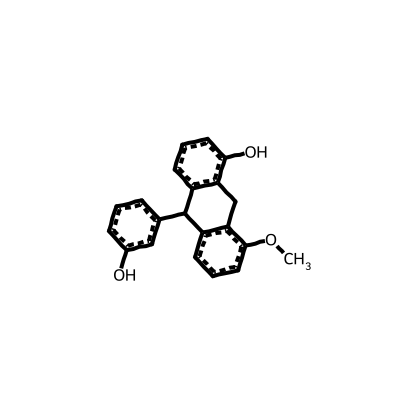 COc1cccc2c1Cc1c(O)cccc1C2c1cccc(O)c1